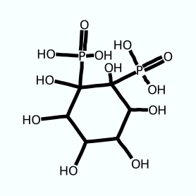 O=P(O)(O)C1(O)C(O)C(O)C(O)C(O)C1(O)P(=O)(O)O